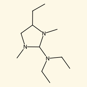 CCC1CN(C)C(N(CC)CC)N1C